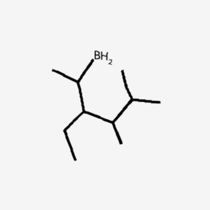 BC(C)C(CC)C(C)C(C)C